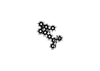 c1ccc(-c2nc3c(-c4ccc(-c5cc(-c6ccccn6)nc(-c6ccccn6)c5)cc4)cccc3c3c2ccc2c4ccccc4n(-c4ccccc4)c23)cc1